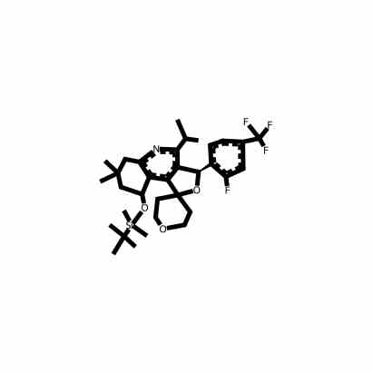 CC(C)c1nc2c(c3c1[C@@H](c1ccc(C(F)(F)F)cc1F)OC31CCOCC1)C(O[Si](C)(C)C(C)(C)C)CC(C)(C)C2